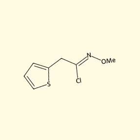 CON=C(Cl)Cc1cccs1